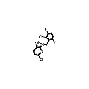 Fc1ccc(F)c(Cn2nnc3ccc(Cl)nc32)c1Cl